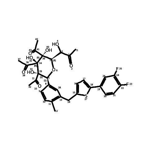 CC(=O)C(O)[C@H]1O[C@@H](c2ccc(C)c(Cc3ccc(-c4ccc(F)c(F)c4)s3)c2)[C@@](O)(C(C)=O)[C@](O)(C(C)=O)[C@@]1(O)C(C)=O